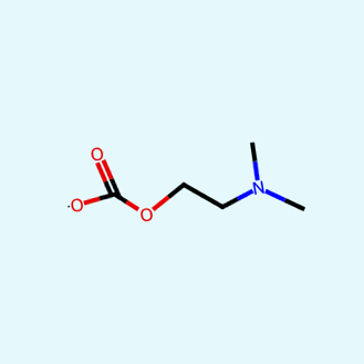 CN(C)CCOC([O])=O